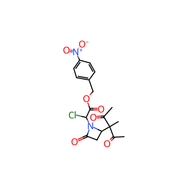 CC(=O)C(C)(C(C)=O)C1CC(=O)N1C(Cl)C(=O)OCc1ccc([N+](=O)[O-])cc1